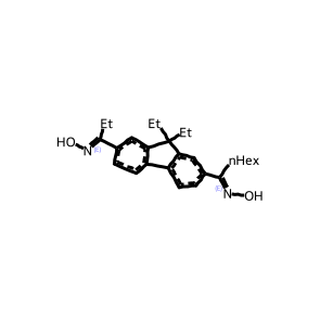 CCCCCC/C(=N\O)c1ccc2c(c1)C(CC)(CC)c1cc(/C(CC)=N/O)ccc1-2